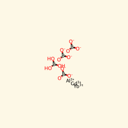 OB(O)O.[Al+3].[Gd+3].[O-]B([O-])[O-].[O-]B([O-])[O-].[O-]B([O-])[O-].[Yb+3]